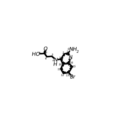 Nc1cc(NCCC(=O)O)c2ccc(Br)cc2n1